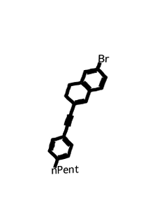 CCCCCc1ccc(C#CC2=Cc3ccc(Br)cc3CC2)cc1